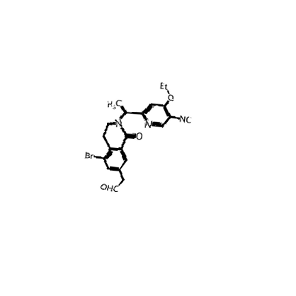 [C-]#[N+]c1cnc(C(C)N2CCc3c(Br)cc(CC=O)cc3C2=O)cc1OCC